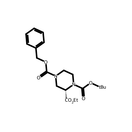 CCOC(=O)[C@@H]1CN(C(=O)OCc2ccccc2)CCN1C(=O)OC(C)(C)C